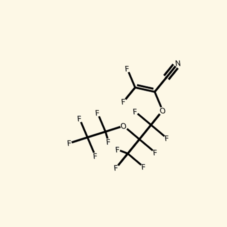 N#CC(OC(F)(F)C(F)(OC(F)(F)C(F)(F)F)C(F)(F)F)=C(F)F